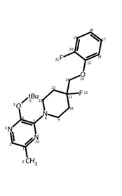 Cc1cnc(OC(C)(C)C)c(N2CCC(F)(COc3ccccc3F)CC2)n1